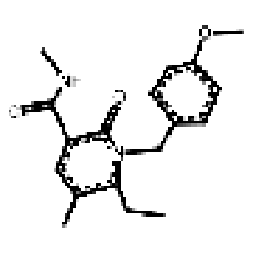 CCc1c(C)cc(C(=O)NC)c(=O)n1Cc1ccc(OC)cc1